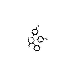 O=C1CO[C@@H](c2ccc(Cl)cc2)[C@@H](c2ccc(Cl)cc2)N1c1ccccc1